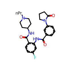 CCCN1CCC(NC(=O)c2ccc(F)cc2NC(=O)c2cccc(N3CCCC3=O)c2)CC1